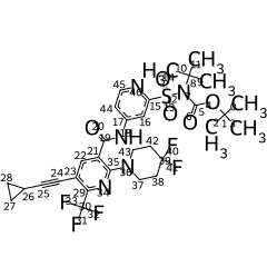 CC(C)(C)OC(=O)N(C(C)(C)C)S(=O)(=O)c1cc(NC(=O)c2cc(C#CC3CC3)c(C(F)(F)F)nc2N2CCC(F)(F)CC2)ccn1